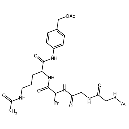 CC(=O)BCC(=O)NCC(=O)NC(C(=O)NC(CCCNC(N)=O)C(=O)Nc1ccc(COC(C)=O)cc1)C(C)C